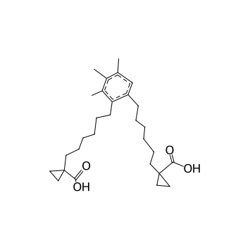 Cc1cc(CCCCCCC2(C(=O)O)CC2)c(CCCCCCC2(C(=O)O)CC2)c(C)c1C